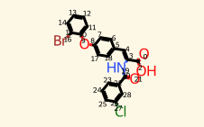 O=C(O)C(=Cc1ccc(Oc2ccccc2Br)cc1)NC(=O)c1cccc(Cl)c1